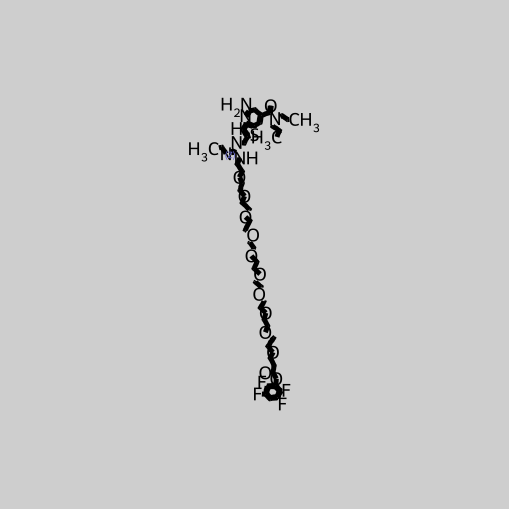 CCCN(CCC)C(=O)C1=Cc2sc(CN/C(=N\CC)NCCOCCOCCOCCOCCOCCOCCOCCOCCOCCOCCC(=O)Oc3c(F)c(F)cc(F)c3F)cc2N=C(N)C1